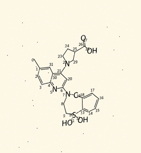 Cc1ccc2nc(N3CCS(O)(O)c4ccccc4C3)cc(N3CCC(C(=O)O)C3)c2c1